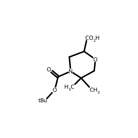 CC(C)(C)OC(=O)N1CC(C(=O)O)OCC1(C)C